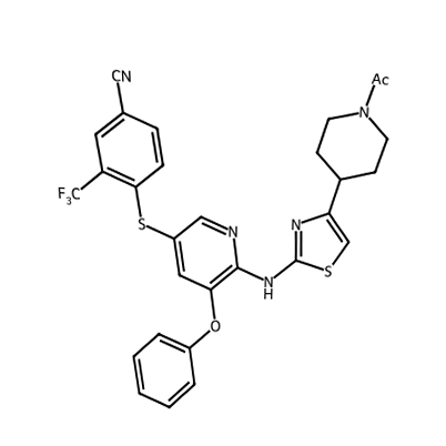 CC(=O)N1CCC(c2csc(Nc3ncc(Sc4ccc(C#N)cc4C(F)(F)F)cc3Oc3ccccc3)n2)CC1